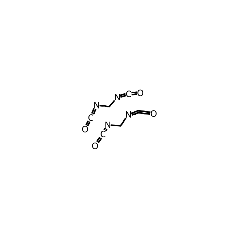 O=C=NCN=C=O.O=C=NCN=C=O